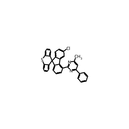 Cc1cc(-c2ccccc2)nc(-c2cccc3c2-c2cc(Cl)ccc2C32c3ccccc3Sc3ccccc32)n1